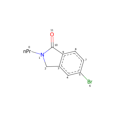 CCCN1Cc2cc(Br)ccc2C1=O